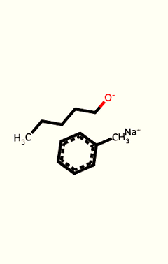 CCCCC[O-].Cc1ccccc1.[Na+]